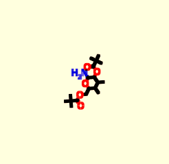 CC1C(COC(=O)C(C)(C)C)OC(N)C(OC(=O)C(C)(C)C)C1C